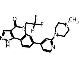 CN1CCN(c2cc(-c3ccc4c5[nH]ncc5c(=O)n(CC(F)(F)F)c4c3)ccn2)CC1